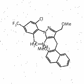 COCc1nn(-c2c(Cl)cc(C(F)(F)F)cc2Cl)c(N(C)C)c1Cc1c(OC)ccc2ccccc12